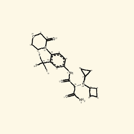 NC(=O)[C@H](C(=O)Nc1ccc(N2CCOCC2=O)c(C(F)(F)F)c1)N(C1CCC1)C1CC1